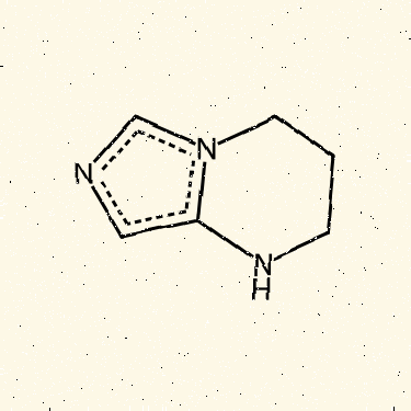 c1ncn2c1NCCC2